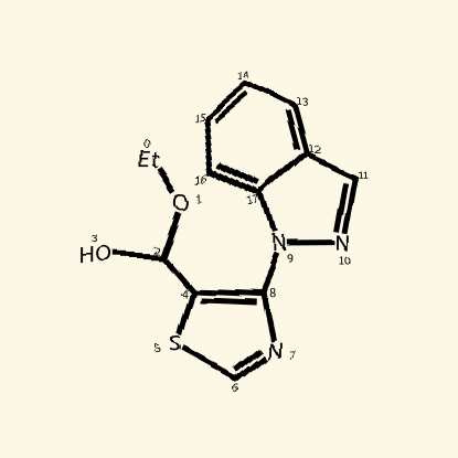 CCOC(O)c1scnc1-n1ncc2ccccc21